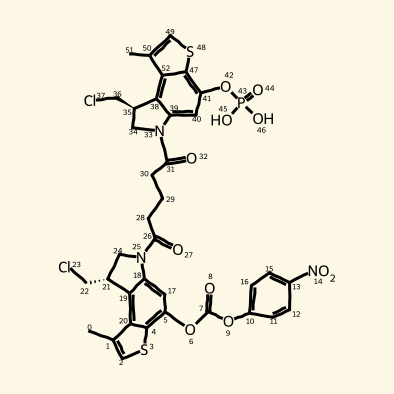 Cc1csc2c(OC(=O)Oc3ccc([N+](=O)[O-])cc3)cc3c(c12)[C@H](CCl)CN3C(=O)CCCC(=O)N1C[C@@H](CCl)c2c1cc(OP(=O)(O)O)c1scc(C)c21